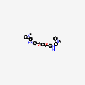 CCn1c2ccccc2c2cc(Nc3ccc(-c4cc5cc6oc(-c7ccc(Nc8ccc9c(c8)c8ccccc8n9CC)cc7)cc6cc5o4)cc3)ccc21